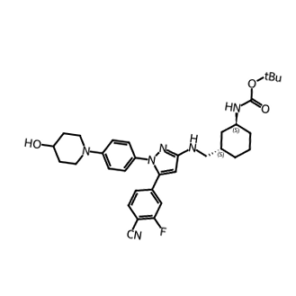 CC(C)(C)OC(=O)N[C@H]1CCC[C@H](CNc2cc(-c3ccc(C#N)c(F)c3)n(-c3ccc(N4CCC(O)CC4)cc3)n2)C1